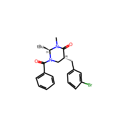 CN1C(=O)[C@H](Cc2cccc(Br)c2)CN(C(=O)c2ccccc2)[C@H]1C(C)(C)C